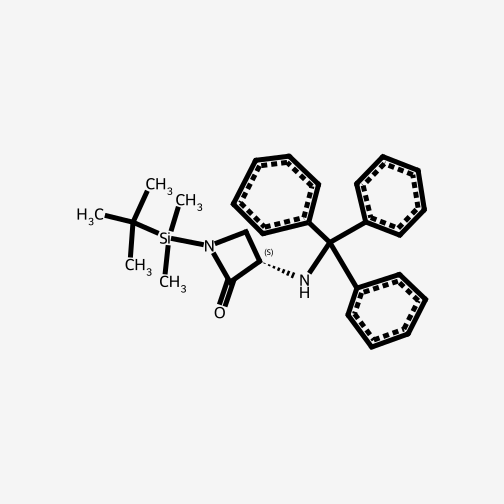 CC(C)(C)[Si](C)(C)N1C[C@H](NC(c2ccccc2)(c2ccccc2)c2ccccc2)C1=O